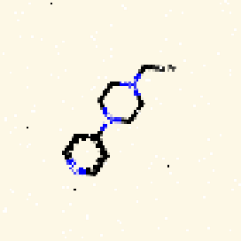 CC(C)CN1CCN(c2ccncc2)CC1